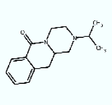 CC(C)N1CCN2C(=O)c3ccccc3CC2C1